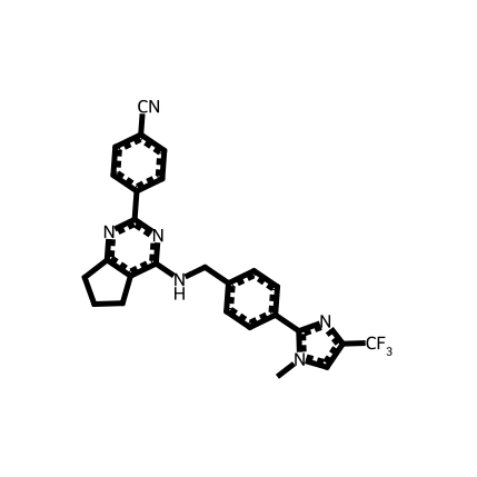 Cn1cc(C(F)(F)F)nc1-c1ccc(CNc2nc(-c3ccc(C#N)cc3)nc3c2CCC3)cc1